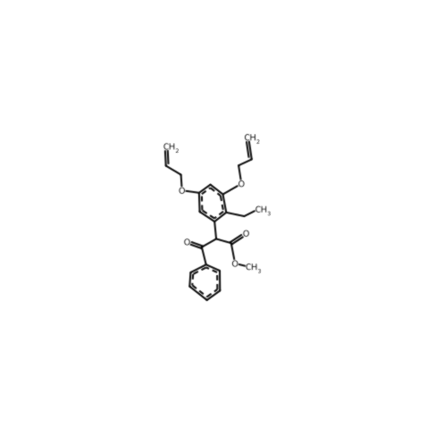 C=CCOc1cc(OCC=C)c(CC)c(C(C(=O)OC)C(=O)c2ccccc2)c1